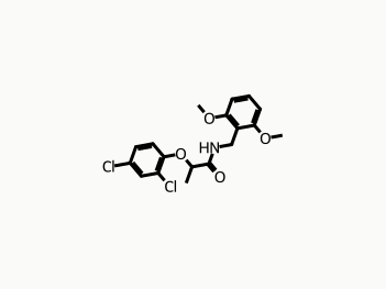 COc1cccc(OC)c1CNC(=O)C(C)Oc1ccc(Cl)cc1Cl